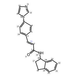 O=C(/C=C/c1ccc(-n2ccnc2)cc1)NC1CCc2ccccc21